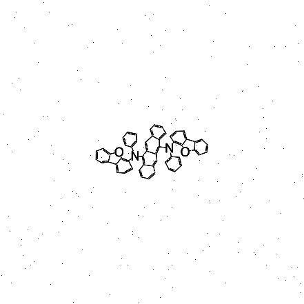 c1ccc(N(c2c3ccccc3cc3c(N(c4ccccc4)c4cccc5c4oc4ccccc45)c4ccccc4cc23)c2cccc3c2oc2ccccc23)cc1